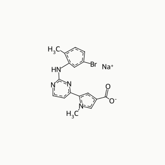 Cc1ccc(Br)cc1Nc1nccc(-c2cc(C(=O)[O-])cn2C)n1.[Na+]